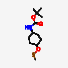 CSO[C@H]1CC[C@@H](NC(=O)OC(C)(C)C)CC1